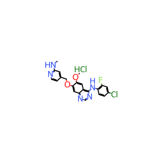 CNc1cc(COc2cc3ncnc(Nc4ccc(Cl)cc4F)c3cc2OC)ccn1.Cl